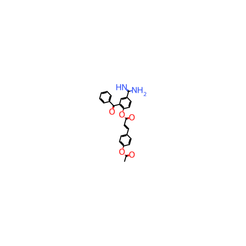 CC(=O)Oc1ccc(C=CC(=O)Oc2ccc(C(=N)N)cc2C(=O)c2ccccc2)cc1